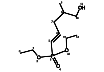 CCOP(=O)(C=CCC(C)CO)OCC